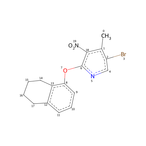 Cc1c(Br)cnc(Oc2cccc3c2CCCC3)c1[N+](=O)[O-]